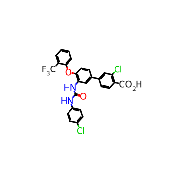 O=C(Nc1ccc(Cl)cc1)Nc1cc(-c2ccc(C(=O)O)c(Cl)c2)ccc1Oc1ccccc1C(F)(F)F